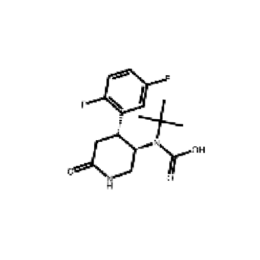 CC(C)(C)N(C(=O)O)[C@H]1CNC(=O)C[C@@H]1c1cc(F)ccc1F